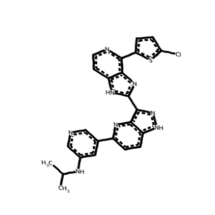 CC(C)Nc1cncc(-c2ccc3[nH]nc(-c4nc5c(-c6ccc(Cl)s6)nccc5[nH]4)c3n2)c1